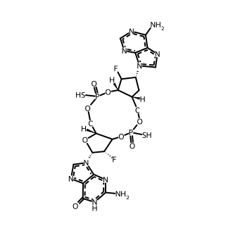 Nc1nc2c(ncn2[C@@H]2O[C@@H]3COP(=O)(S)O[C@@H]4C(F)[C@H](n5cnc6c(N)ncnc65)C[C@@H]4COP(=O)(S)OC3[C@@H]2F)c(=O)[nH]1